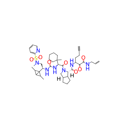 C#CCCC(NC(=O)[C@@H]1[C@H]2CCC[C@H]2CN1C(=O)[C@@H](NC(=O)N[C@H](CN(C)S(=O)(=O)c1ccccn1)C12C(C)C1C2C)C1(C)CCCCC1)C(=O)C(=O)NCC=C